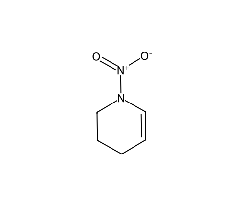 O=[N+]([O-])N1C=CCCC1